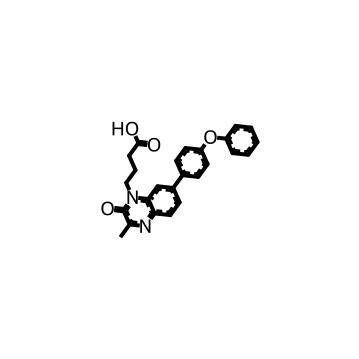 Cc1nc2ccc(-c3ccc(Oc4ccccc4)cc3)cc2n(CCCC(=O)O)c1=O